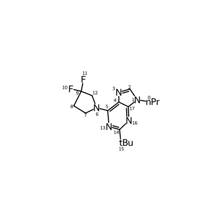 CCCn1cnc2c(N3CCC(F)(F)C3)nc(C(C)(C)C)nc21